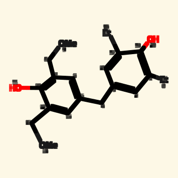 CCc1cc(Cc2cc(COC)c(O)c(COC)c2)cc(CC)c1O